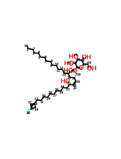 CCCCCCCCCCCCCC[C@@H](O)[C@@H](O)[C@@H](/C=C(/F)CCCCCCCCCCCC12CC(F)(C1)C2)COC1OC(CO)C(O)C(O)C1O